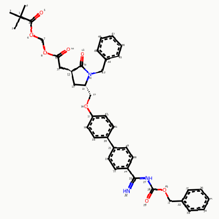 CC(C)(C)C(=O)OCOC(=O)C[C@@H]1C[C@@H](COc2ccc(-c3ccc(C(=N)NC(=O)OCc4ccccc4)cc3)cc2)N(Cc2ccccc2)C1=O